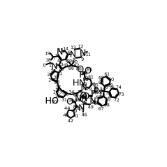 CCn1c(-c2cc(N3CCN(C)CC3)cnc2C(C)C)c2c3cc(ccc31)-c1cc(O)cc(c1)C[C@H](NC(=O)[C@H](C1CCCC1)N(C)C(=O)CN(C)C(=O)[C@H]1CN1C(c1ccccc1)(c1ccccc1)c1ccccc1)C(=O)N1CCC[C@H](N1)C(=O)OCC(C)(C)C2